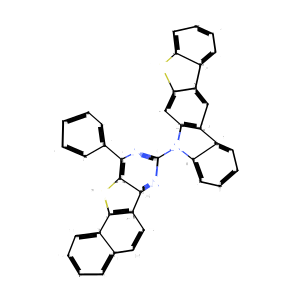 c1ccc(-c2nc(-n3c4ccccc4c4cc5c(cc43)sc3ccccc35)nc3c2sc2c4ccccc4ccc32)cc1